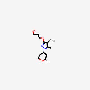 Cc1c([N+](=O)[O-])c(OCCCO)nn1[C@H]1CCO[C@@H](C)C1